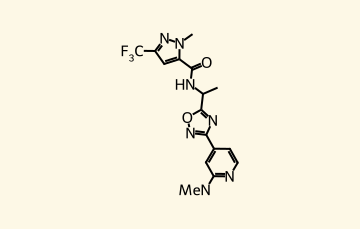 CNc1cc(-c2noc(C(C)NC(=O)c3cc(C(F)(F)F)nn3C)n2)ccn1